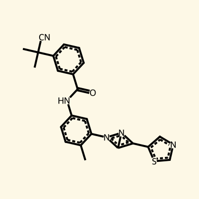 Cc1ccc(NC(=O)c2cccc(C(C)(C)C#N)c2)cc1-n1c2c(-c3cncs3)n1-2